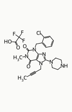 CC#CCn1c(N2CCNCC2)nc2c1c(=O)n(C)c(=O)n2Cc1ccccc1Cl.O=C(O)C(F)(F)F